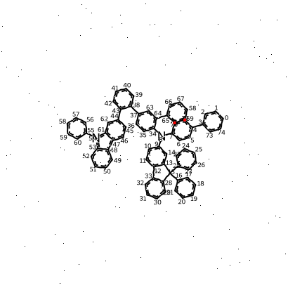 c1ccc(-c2ccc(N(c3ccc4c(c3)C(c3ccccc3)(c3ccccc3)c3ccccc3-4)c3ccc(-c4ccccc4-c4ccc5c6ccccc6n(-c6ccccc6)c5c4)cc3-c3ccccc3)cc2)cc1